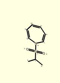 CC(C)S(=O)(=O)N1C=CC=CC=C1